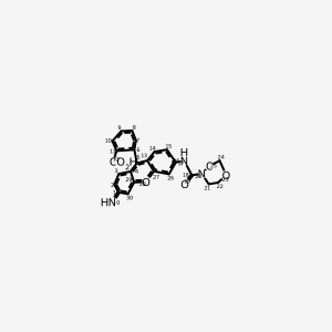 N=c1ccc2c(-c3ccccc3C(=O)O)c3ccc(NC(=O)N4CCOCC4)cc3oc-2c1